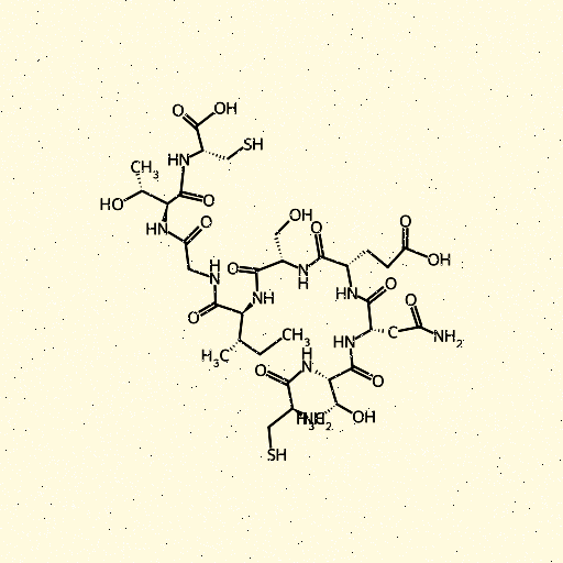 CC[C@H](C)[C@H](NC(=O)[C@H](CO)NC(=O)[C@H](CCC(=O)O)NC(=O)[C@H](CC(N)=O)NC(=O)[C@@H](NC(=O)[C@@H](N)CS)[C@@H](C)O)C(=O)NCC(=O)N[C@H](C(=O)N[C@@H](CS)C(=O)O)[C@@H](C)O